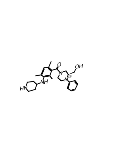 Cc1cc(C)c(C(=O)N2CCN(c3ccccc3)[C@H](CO)C2)c(C)c1NC1CCNCC1